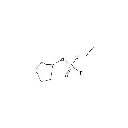 CCOP(=O)(F)OC1CCCC1